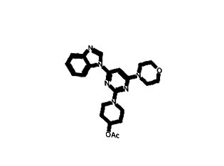 CC(=O)OC1CCN(c2nc(N3CCOCC3)cc(-n3cnc4ccccc43)n2)CC1